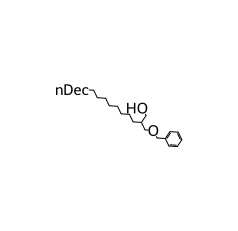 CCCCCCCCCCCCCCCCCCC(CO)COCc1ccccc1